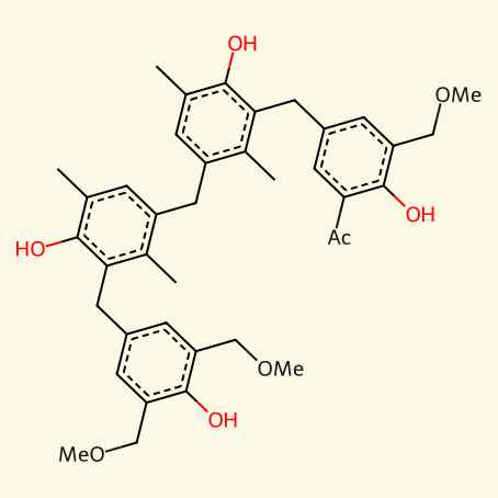 COCc1cc(Cc2c(C)c(Cc3cc(C)c(O)c(Cc4cc(COC)c(O)c(C(C)=O)c4)c3C)cc(C)c2O)cc(COC)c1O